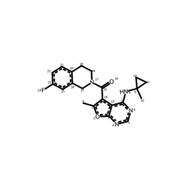 Cc1oc2ncnc(NC3(C)CC3)c2c1C(=O)N1CCc2ccc(F)cc2C1